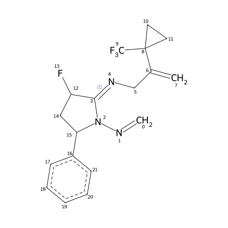 C=NN1/C(=N\CC(=C)C2(C(F)(F)F)CC2)C(F)CC1c1ccccc1